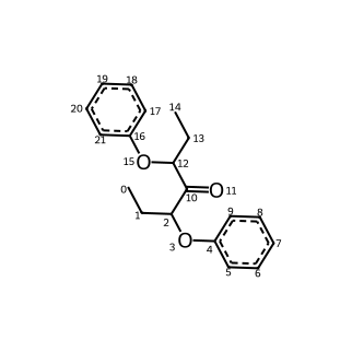 CCC(Oc1ccccc1)C(=O)C(CC)Oc1ccccc1